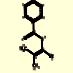 CCC(SC(=O)c1ccccc1)=C(C)C